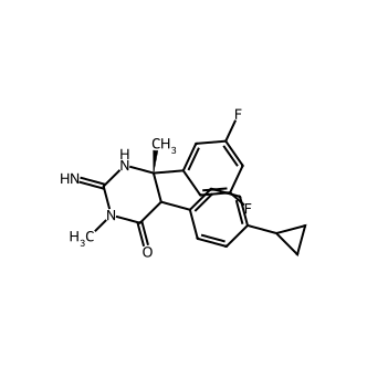 CN1C(=N)N[C@](C)(c2cc(F)cc(F)c2)C(c2ccc(C3CC3)cc2)C1=O